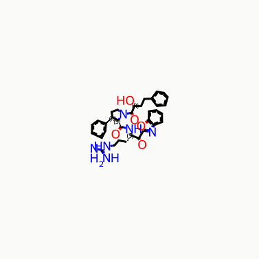 N=C(N)NCCC[C@H](NC(=O)[C@@H]1[C@@H](c2ccccc2)CCN1C(=O)[C@H](O)CCc1ccccc1)C(=O)c1nc2ccccc2o1